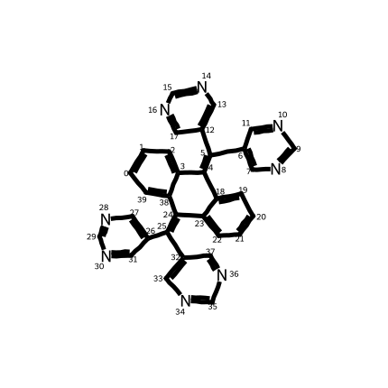 c1ccc2c(=C(c3cncnc3)c3cncnc3)c3ccccc3c(=C(c3cncnc3)c3cncnc3)c2c1